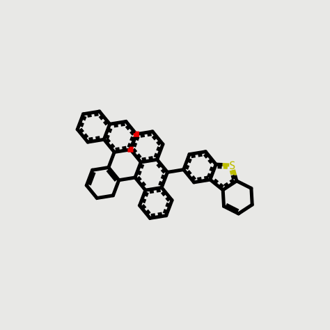 C1=CC(c2cccc3ccccc23)=C(c2c3ccccc3c(-c3ccc4sc5c(c4c3)C=CCC5)c3ccccc23)CC1